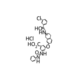 Cl.O=C(Nc1ccccc1)Nc1cc(Oc2ccc3c(c2)C[C@@H](NC[C@H](O)c2cccc(Cl)c2)CC3)cc(C(=O)O)c1